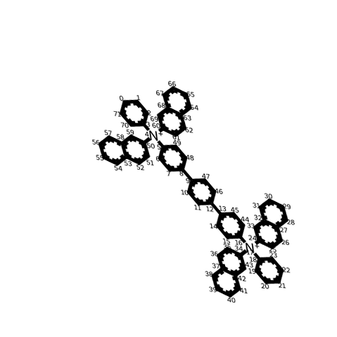 c1ccc([N+](c2ccc(-c3ccc(-c4ccc([N+](c5ccccc5)(c5ccc6ccccc6c5)c5ccc6ccccc6c5)cc4)cc3)cc2)(c2ccc3ccccc3c2)c2ccc3ccccc3c2)cc1